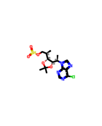 C[C@H](CO[SH](=O)=O)[C@H]1OC(C)(C)O[C@H]1[C@@H](C)n1cnc2c(Cl)ncnc21